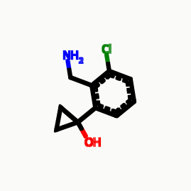 NCc1c(Cl)cccc1C1(O)CC1